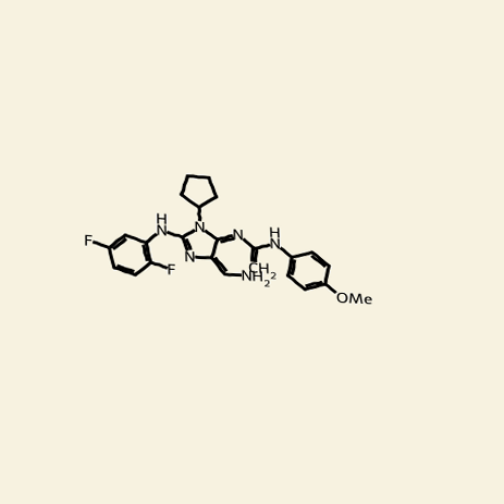 C=C(/N=C1\C(=C/N)N=C(Nc2cc(F)ccc2F)N1C1CCCC1)Nc1ccc(OC)cc1